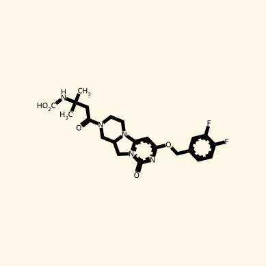 CC(C)(CC(=O)N1CCN2c3cc(OCc4ccc(F)c(F)c4)nc(=O)n3CC2C1)NC(=O)O